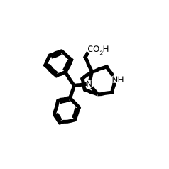 O=C(O)CC12CCC(CNC1)N2C(c1ccccc1)c1ccccc1